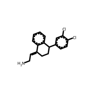 NCC=C1CCC(c2ccc(Cl)c(Cl)c2)c2ccccc21